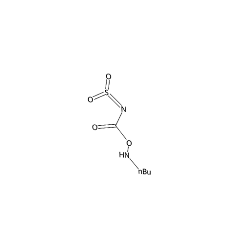 CCCCNOC(=O)N=S(=O)=O